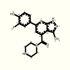 Cc1n[nH]c2nc(-c3ccc(O)c(F)c3)cc(C(=O)N3CCNCC3)c12